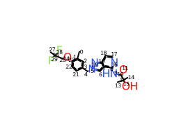 Cc1cc(Cn2cc3c(NC(=O)C(C)(C)O)nccc3n2)ccc1OCC(C)(F)F